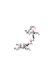 CC(C)O[Si](C)(C)C#CCOCC#C[Si](C)(C)OC(C)C